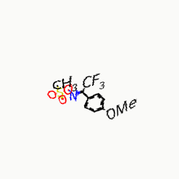 COc1ccc(C(=NOS(C)(=O)=O)C(F)(F)F)cc1